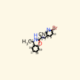 CC(NC(=O)/C(C#N)=C/c1ccc(Br)nc1)c1ccccc1